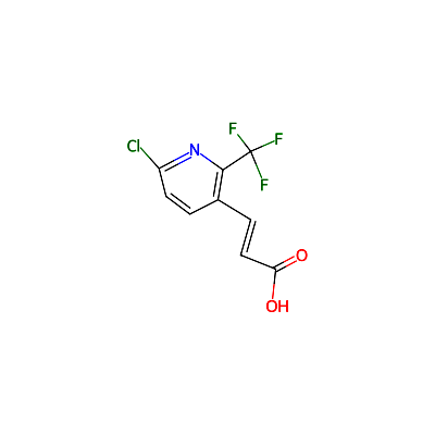 O=C(O)/C=C/c1ccc(Cl)nc1C(F)(F)F